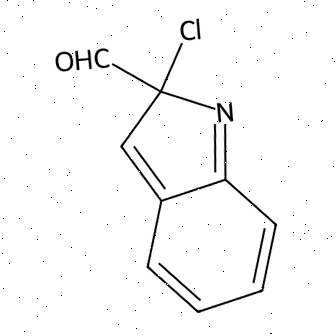 O=CC1(Cl)C=c2ccccc2=N1